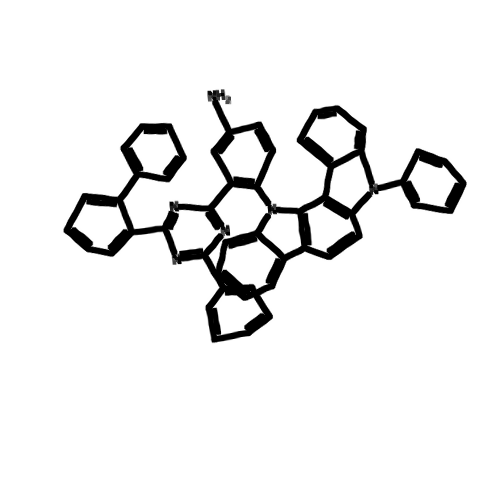 Nc1ccc(-n2c3ccccc3c3ccc4c(c5ccccc5n4-c4ccccc4)c32)c(-c2nc(-c3ccccc3)nc(-c3ccccc3-c3ccccc3)n2)c1